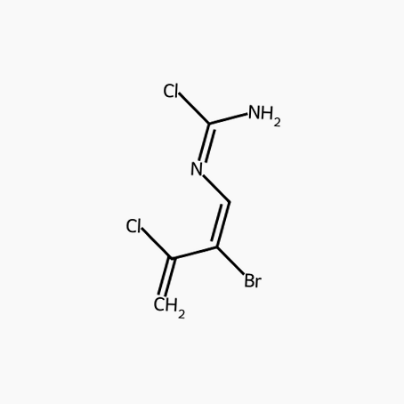 C=C(Cl)/C(Br)=C\N=C(/N)Cl